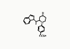 COc1ccc(N2CCNCC2C(C)C2C=Cc3ccccc32)cc1